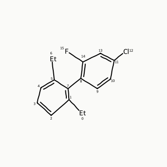 CCc1cccc(CC)c1-c1ccc(Cl)cc1F